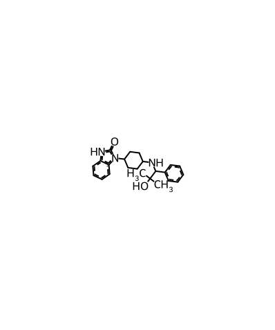 CC(C)(O)C(NC1CCC(n2c(=O)[nH]c3ccccc32)CC1)c1ccccc1